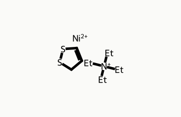 C1=CSSC1.CC[N+](CC)(CC)CC.[Ni+2]